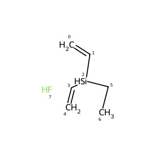 C=C[SiH](C=C)CC.F